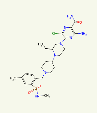 CC[C@H]1CN(c2nc(N)c(C(N)=O)nc2Cl)CCN1C1CCN(Cc2ccc(C)cc2S(=O)(=O)NC)CC1